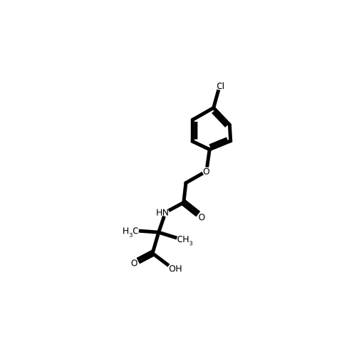 CC(C)(NC(=O)COc1ccc(Cl)cc1)C(=O)O